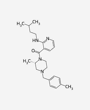 Cc1ccc(CN2CCN(C(=O)c3cccnc3NCCC(C)C)[C@@H](C)C2)cc1